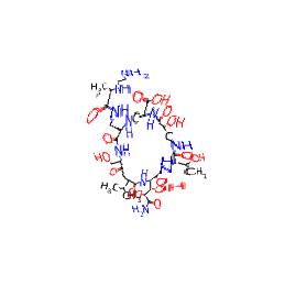 CC(NCCN)C(=O)NCC1NCC(C(=O)O)NC(=O)C(O)CNC(=O)C(C(C)O)NC(=O)C(C(O)C(O)C(N)=O)NC(=O)C(C(C)C)CC(=O)C(CO)NC1=O